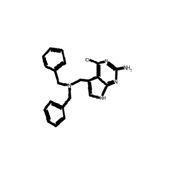 Nc1nc(Cl)c2c(CN(Cc3ccccc3)Cc3ccccc3)c[nH]c2n1